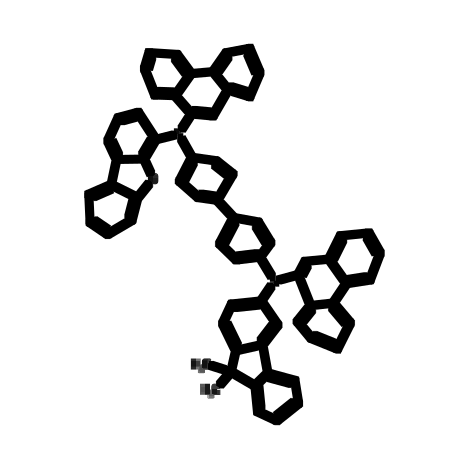 CC1(C)c2ccccc2-c2cc(N(c3ccc(-c4ccc(N(c5cc6ccccc6c6ccccc56)c5cccc6c5oc5ccccc56)cc4)cc3)c3cc4ccccc4c4ccccc34)ccc21